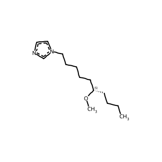 CCCC[C@@H](CCCCCn1ccnc1)OC